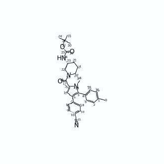 Cc1ccc(-c2c(-c3ccc(C#N)cc3)cc(C(=O)N3CCC[C@@H](NC(=O)OC(C)(C)C)C3)n2C)cc1